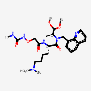 CCNC(=O)NOCC(=O)N[C@@H](CCCCN(C(=O)O)C(C)(C)C)C(=O)N(Cc1cccc2cccnc12)[C@@H](C)C(OCC)OCC